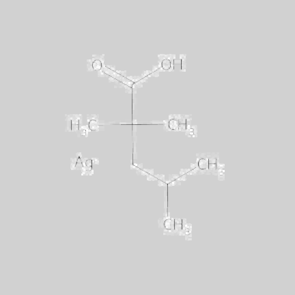 CC(C)CC(C)(C)C(=O)O.[Ag]